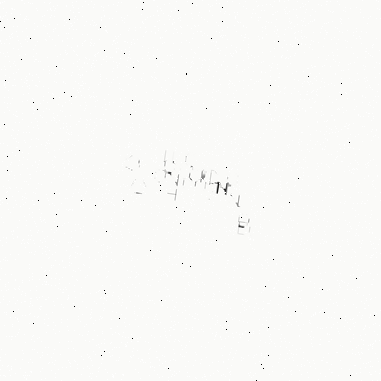 CCOCCN1CCN(c2ccc(CC(C)(C)C[C@H](NC(=O)OCC3c4ccccc4-c4ccccc43)C(=O)O)cc2)C(=O)C1